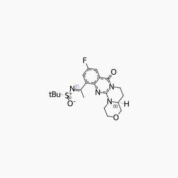 C/C(=N\[S@+]([O-])C(C)(C)C)c1cc(F)cc2c(=O)n3c(nc12)N1CCOC[C@@H]1CC3